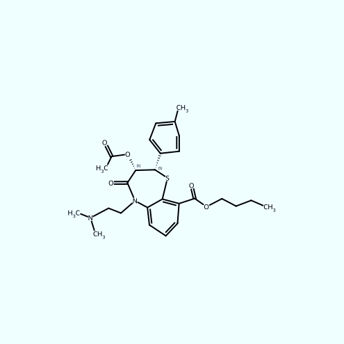 CCCCOC(=O)c1cccc2c1S[C@@H](c1ccc(C)cc1)[C@@H](OC(C)=O)C(=O)N2CCN(C)C